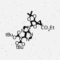 CCOC(=O)[C@@H]1C[C@]12OC(n1cnc3c(N(C(=O)OC(C)(C)C)C(=O)OC(C)(C)C)ncnc31)C1OC(C)(C)OC12